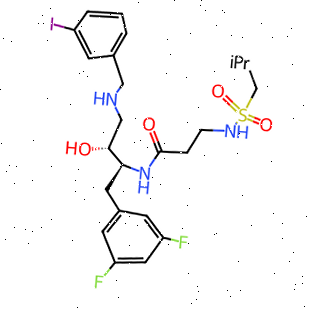 CC(C)CS(=O)(=O)NCCC(=O)N[C@@H](Cc1cc(F)cc(F)c1)[C@H](O)CNCc1cccc(I)c1